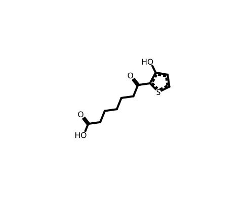 O=C(O)CCCCCC(=O)c1sccc1O